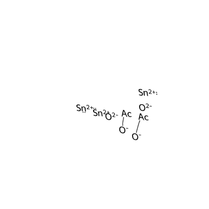 CC(=O)[O-].CC(=O)[O-].[O-2].[O-2].[Sn+2].[Sn+2].[Sn+2]